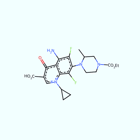 CCOC(=O)N1CCN(c2c(F)c(N)c3c(=O)c(C(=O)O)cn(C4CC4)c3c2F)C(C)C1